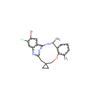 CC1Nc2nc(nc3cc(F)c(Br)cc23)CC2(CC2)COc2c1cccc2C(F)(F)F